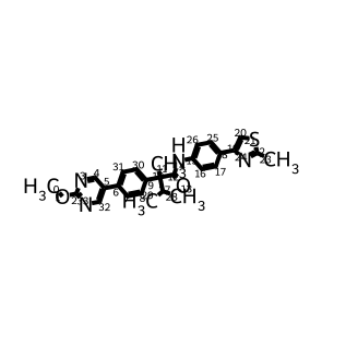 COc1ncc(-c2ccc(C(C)(C(=O)Nc3ccc(-c4csc(C)n4)cc3)C(C)C)cc2)cn1